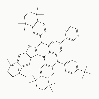 CC1(C)CCC(C)(C)C2CC3=C(C=C21)B1c2c(cc(-c4ccccc4)cc2N(c2ccc4c(c2)C(C)(C)CCC4(C)C)c2oc4cc5c(cc4c21)C1(C)CCC5(C)C1)N3c1ccc(C(C)(C)C)cc1